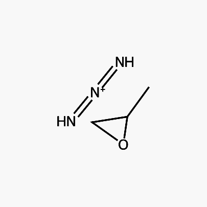 CC1CO1.N=[N+]=N